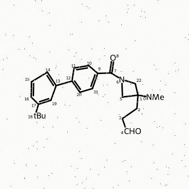 CNC1(CCC=O)CN(C(=O)c2ccc(-c3cccc(C(C)(C)C)c3)cc2)C1